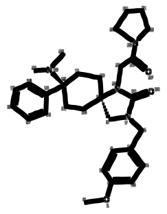 COc1ccc(CN2C[C@]3(CC[C@](c4ccccc4)(N(C)C)CC3)N(CC(=O)N3CCCC3)C2=O)cc1